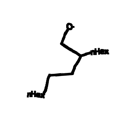 CCCCCCCCC(C[O])CCCCCC